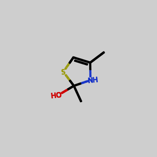 CC1=CSC(C)(O)N1